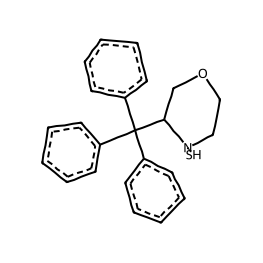 SN1CCOCC1C(c1ccccc1)(c1ccccc1)c1ccccc1